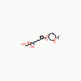 CC(/C=C/C=C/c1cccc(C(=O)O[C@H]2CCCC(=O)O[C@@H](C(C)C)C/C=C/C[C@H]2C)c1)=C\[C@H](O)[C@@H](O)C[C@H](C)O